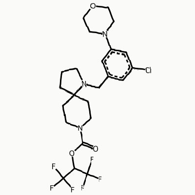 O=C(OC(C(F)(F)F)C(F)(F)F)N1CCC2(CCCN2Cc2cc(Cl)cc(N3CCOCC3)c2)CC1